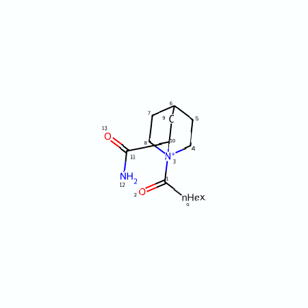 CCCCCCC(=O)[N+]12CCC(CC1)CC2C(N)=O